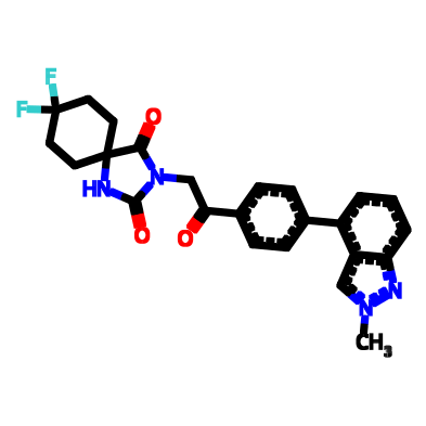 Cn1cc2c(-c3ccc(C(=O)CN4C(=O)NC5(CCC(F)(F)CC5)C4=O)cc3)cccc2n1